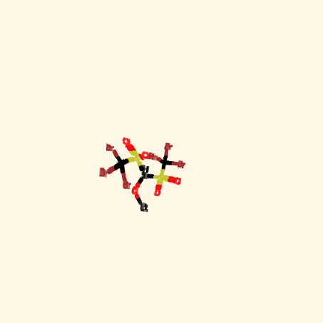 CCO[SiH](S(=O)(=O)C(Br)(Br)Br)S(=O)(=O)C(Br)(Br)Br